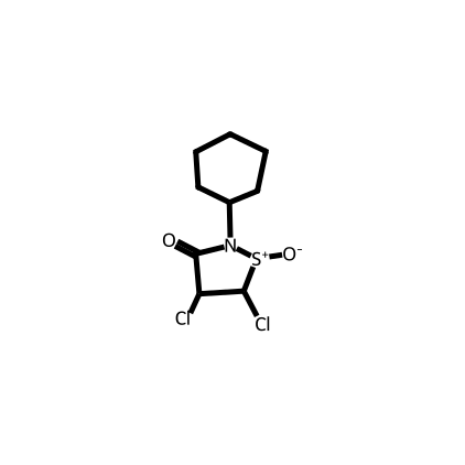 O=C1C(Cl)C(Cl)[S+]([O-])N1C1CCCCC1